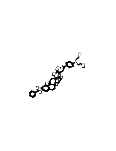 C[C@]12CC[C@@H]3c4ccc(OC(=O)c5ccccc5)cc4CC[C@H]3[C@@H]1CC[C@@H]2C(CCc1ccc(N(CCCl)CCCl)cc1)C(=O)O